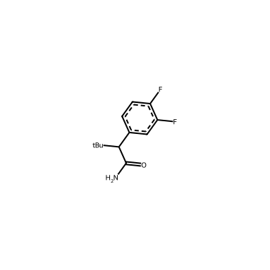 CC(C)(C)C(C(N)=O)c1ccc(F)c(F)c1